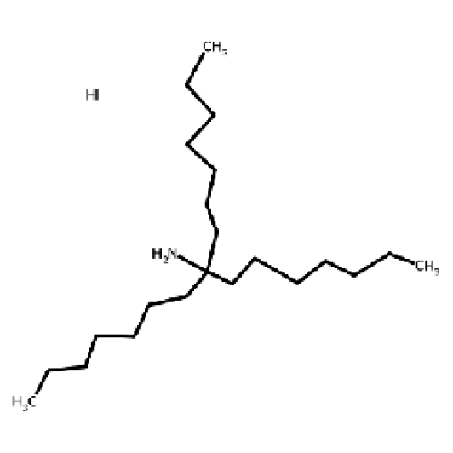 CCCCCCCC(N)(CCCCCCC)CCCCCCC.I